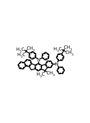 CC(C)(C)c1ccc(N(c2ccccc2)c2ccc3c(c2)C(C)(C)c2cc4c(c(N(c5ccccc5)c5ccc(C(C)(C)C)cc5)c2-3)-c2ccc3ccccc3c2C4)cc1